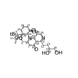 CC(C)(C)[Si](C)(C)OCc1cc(=O)c2c(CCC(O)CO)ncc(Cl)c2n1-c1c(Cl)cccc1Cl